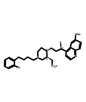 COc1ccc2nccc([C@H](F)CC[C@@H]3CCN(CCCCc4ccccc4Cl)C[C@@H]3CC(=O)O)c2c1